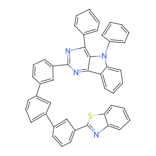 c1ccc(-c2nc(-c3cccc(-c4cccc(-c5cccc(-c6nc7ccccc7s6)c5)c4)c3)nc3c4ccccc4n(-c4ccccc4)c23)cc1